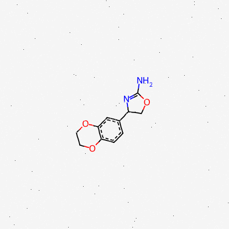 NC1=NC(c2ccc3c(c2)OCCO3)CO1